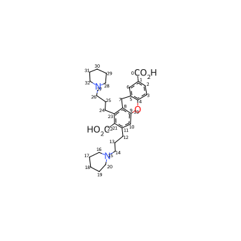 O=C(O)c1ccc2c(c1)Cc1c(cc(CCCN3CCCCC3)c(C(=O)O)c1CCCN1CCCCC1)O2